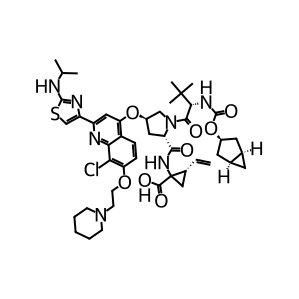 C=C[C@@H]1CC1(NC(=O)[C@@H]1C[C@@H](Oc2cc(-c3csc(NC(C)C)n3)nc3c(Cl)c(OCCN4CCCCC4)ccc23)CN1C(=O)[C@@H](NC(=O)O[C@@H]1C[C@@H]2C[C@@H]2C1)C(C)(C)C)C(=O)O